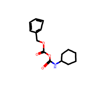 O=C(NC1CCCCC1)OC(=O)OCc1ccccc1